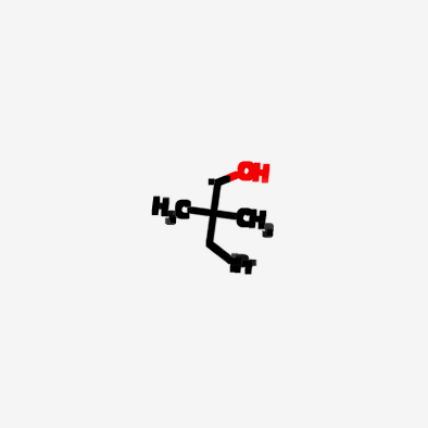 CC(C)CC(C)(C)[CH]O